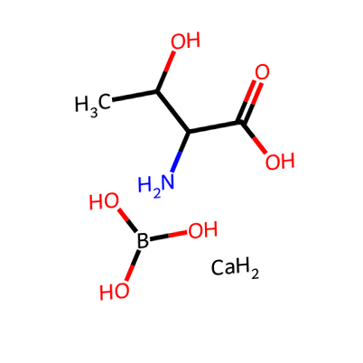 CC(O)C(N)C(=O)O.OB(O)O.[CaH2]